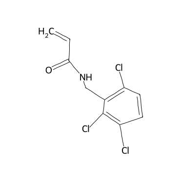 C=CC(=O)NCc1c(Cl)ccc(Cl)c1Cl